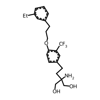 CCc1cccc(CCCOc2ccc(CCC(N)(CO)CO)cc2C(F)(F)F)c1